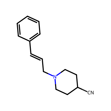 N#CC1CCN(CC=Cc2ccccc2)CC1